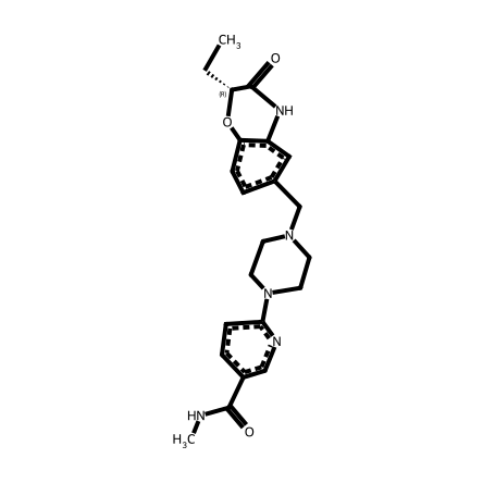 CC[C@H]1Oc2ccc(CN3CCN(c4ccc(C(=O)NC)cn4)CC3)cc2NC1=O